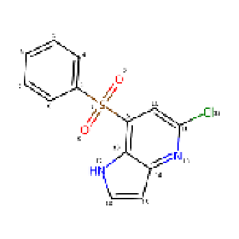 O=S(=O)(c1ccccc1)c1cc(Cl)nc2cc[nH]c12